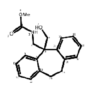 COC(=O)NCC1(CO)c2ccccc2CCc2ccccc21